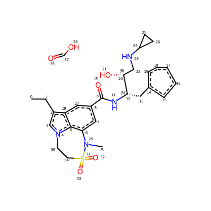 CCc1cn2c3c(cc(C(=O)N[C@@H](Cc4ccccc4)[C@H](O)CNC4CC4)cc13)N(C)S(=O)(=O)CC2.O=CO